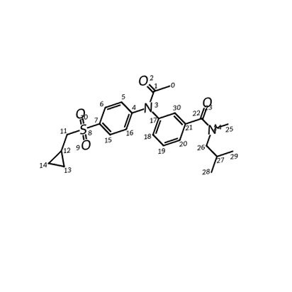 CC(=O)N(c1ccc(S(=O)(=O)CC2CC2)cc1)c1cccc(C(=O)N(C)CC(C)C)c1